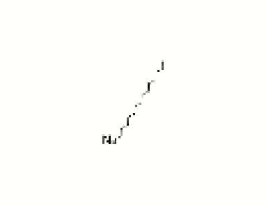 CCCCCCCCCCCCC=[CH][Na]